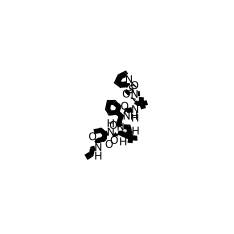 C=CCNC(=O)C(=O)C(CC)NC(=O)[C@@H]1[C@@H]2[C@H](CN1C(=O)[C@@H](NC(=O)N[C@H](CN(C)S(=O)(=O)c1ccccn1)C(C)(C)C)C1CCCCC1)C2(C)C